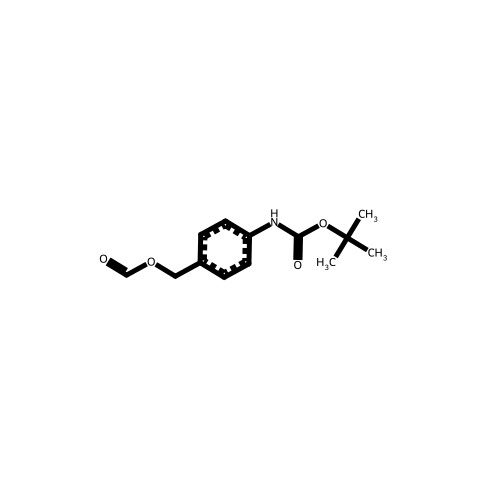 CC(C)(C)OC(=O)Nc1ccc(COC=O)cc1